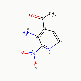 CC(=O)c1ccnc([N+](=O)[O-])c1N